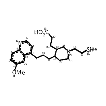 COc1ccc2nccc(CCCC3CCN(CCSC)CC3CCC(=O)O)c2c1